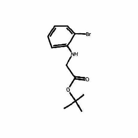 CC(C)(C)OC(=O)CNc1ccccc1Br